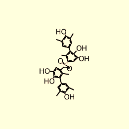 Cc1cc(-c2c(C)c(S(=O)(=O)c3cc(O)c(O)c(-c4cc(C)c(O)c(C)c4)c3C)cc(O)c2O)cc(C)c1O